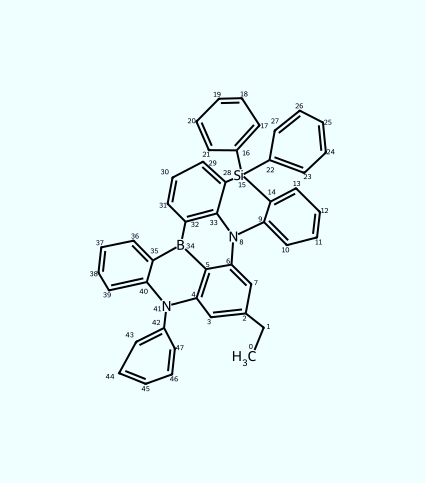 CCc1cc2c3c(c1)N1c4ccccc4[Si](c4ccccc4)(c4ccccc4)c4cccc(c41)B3c1ccccc1N2c1ccccc1